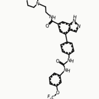 O=C(Nc1ccc(-c2cc(C(=O)NCCN3CCNCC3)cc3[nH]ncc23)cc1)Nc1cccc(OC(F)(F)F)c1